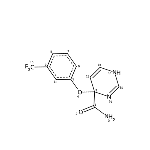 NC(=O)C1(Oc2cccc(C(F)(F)F)c2)C=CNC=N1